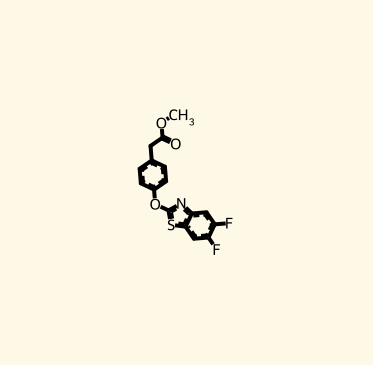 COC(=O)Cc1ccc(Oc2nc3cc(F)c(F)cc3s2)cc1